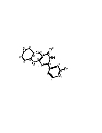 O=c1[nH]c(-c2ccnc(F)c2)nc(OC2CCOCC2)c1Cl